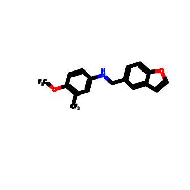 FC(F)(F)Oc1ccc(NCc2ccc3occc3c2)cc1C(F)(F)F